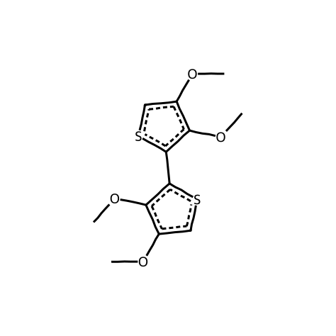 COc1csc(-c2scc(OC)c2OC)c1OC